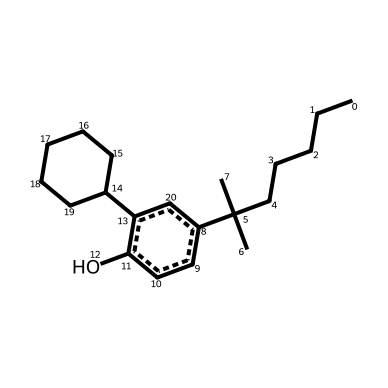 CCCCCC(C)(C)c1ccc(O)c(C2CCCCC2)c1